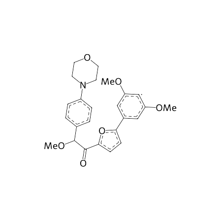 COc1[c]c(OC)cc(-c2ccc(C(=O)C(OC)c3ccc(N4CCOCC4)cc3)o2)c1